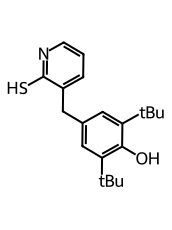 CC(C)(C)c1cc(Cc2cccnc2S)cc(C(C)(C)C)c1O